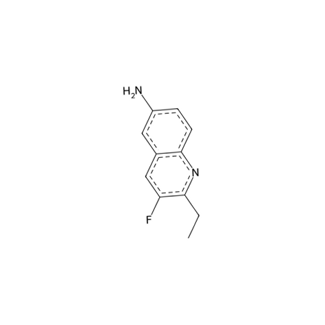 CCc1nc2ccc(N)cc2cc1F